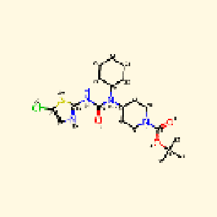 CC(C)(C)OC(=O)N1CCC(N(C(=O)Nc2ncc(Cl)s2)C2CCCCC2)CC1